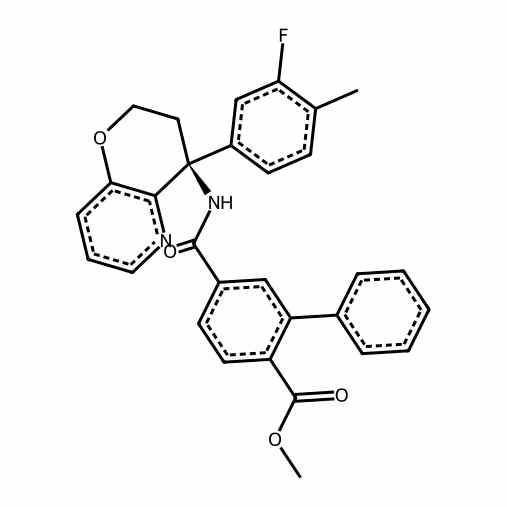 COC(=O)c1ccc(C(=O)N[C@]2(c3ccc(C)c(F)c3)CCOc3cccnc32)cc1-c1ccccc1